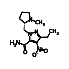 CCc1nn(C[C@@H]2CCCN2C)c(C(N)=O)c1[N+](=O)[O-]